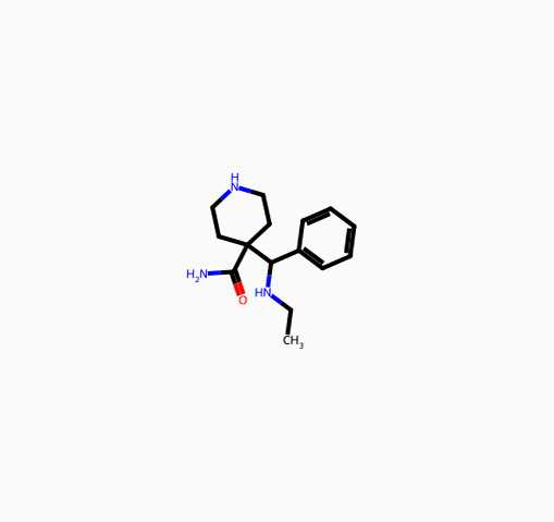 CCNC(c1ccccc1)C1(C(N)=O)CCNCC1